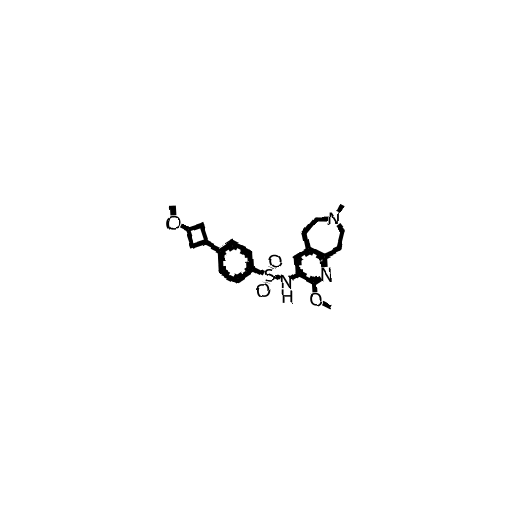 COc1nc2c(cc1NS(=O)(=O)c1ccc(C3CC(OC)C3)cc1)CCN(C)CC2